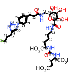 O=C(O)CCC(NC(=O)N[C@@H](CCCCNC(=O)[C@H]1O[C@@H](CNC(=O)CCc2ccc(-n3cc(CCCF)nn3)cc2)[C@H](O)[C@@H](O)[C@H]1O)C(=O)O)C(=O)O